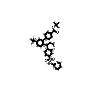 CC(C)(C)OC(=O)c1ccc(-c2cc(C(F)(F)F)ccc2C2CCOc3cc(S(=O)(=O)Nc4ncccn4)ccc32)cc1